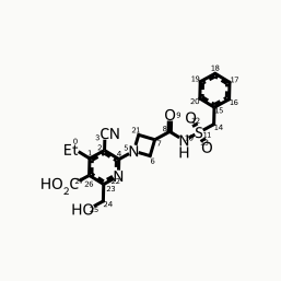 CCc1c(C#N)c(N2CC(C(=O)NS(=O)(=O)Cc3ccccc3)C2)nc(CO)c1C(=O)O